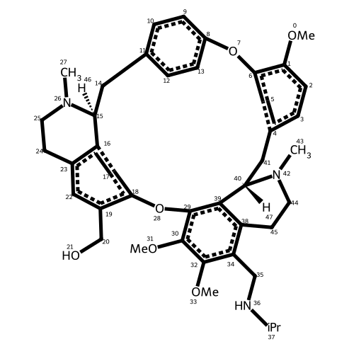 COc1ccc2cc1Oc1ccc(cc1)C[C@H]1c3cc(c(CO)cc3CCN1C)Oc1c(OC)c(OC)c(CNC(C)C)c3c1[C@H](C2)N(C)CC3